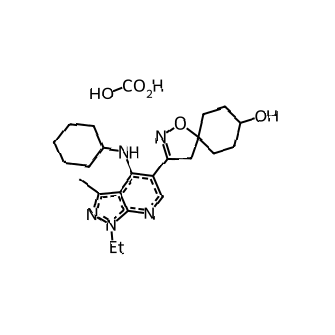 CCn1nc(C)c2c(NC3CCCCC3)c(C3=NOC4(CCC(O)CC4)C3)cnc21.O=C(O)O